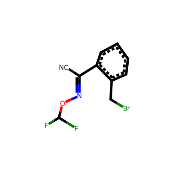 N#CC(=NOC(F)F)c1ccccc1CBr